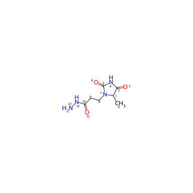 CC1C(=O)NC(=O)N1CCC(=O)NN